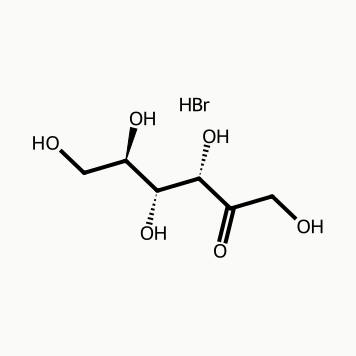 Br.O=C(CO)[C@@H](O)[C@H](O)[C@H](O)CO